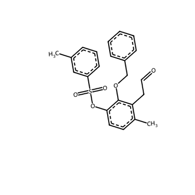 Cc1cccc(S(=O)(=O)Oc2ccc(C)c(CC=O)c2OCc2ccccc2)c1